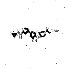 COCC(=O)N1CC[C@H](Oc2ccc(-c3ccnc(NC(=O)[C@@H]4C[C@H]4F)c3)cc2C#N)[C@H](F)C1